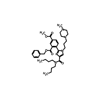 CCCCN(CCCC)C(=O)c1cn(CCCN2CCN(C)CC2)c(-c2ccc(C(=O)OC)cc2C(=O)OCc2ccccc2)n1